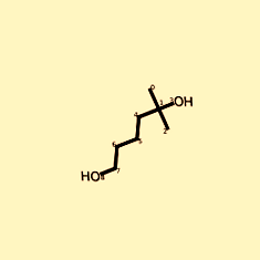 CC(C)(O)CCCCO